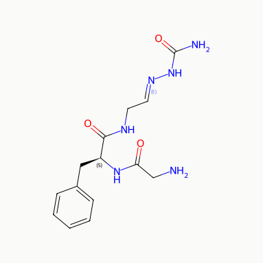 NCC(=O)N[C@@H](Cc1ccccc1)C(=O)NC/C=N/NC(N)=O